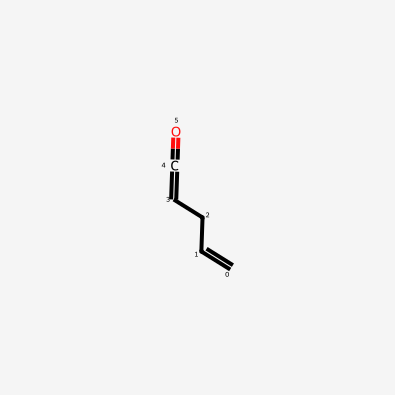 C=CCC=C=O